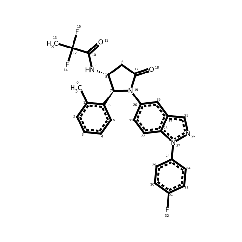 Cc1ccccc1[C@H]1[C@H](NC(=O)C(C)(F)F)CC(=O)N1c1ccc2c(cnn2-c2ccc(F)cc2)c1